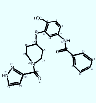 Cc1ccc(NC(=O)c2ccccc2)cc1OC1CCN(C(=O)c2cc[nH]n2)CC1